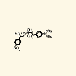 CCCCN(CCCC)c1ccc(CCC(C)(C)NCC(O)c2ccc([N+](=O)[O-])cc2)cc1